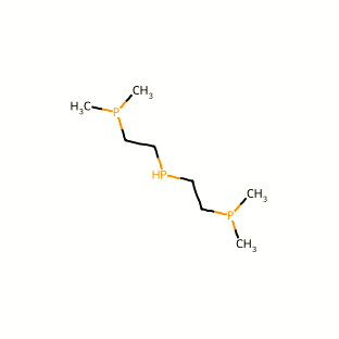 CP(C)CCPCCP(C)C